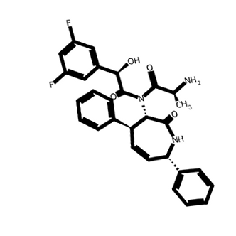 C[C@H](N)C(=O)N(C(=O)[C@H](O)c1cc(F)cc(F)c1)[C@@H]1C(=O)N[C@H](c2ccccc2)C=C[C@H]1c1ccccc1